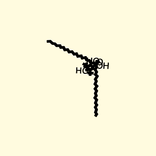 CCCCCCCCCCCCCCCCCCCCCCC(CCCCCCCCCCCCCCCCCCCCCC)(c1cc(C(C)(C)C)c(O)c(C(C)(C)C)c1)P(=O)(O)O